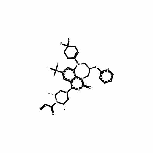 C=CC(=O)N1[C@H](C)CN(c2nc(=O)n3c4c(cc(C(F)(F)F)cc24)[SH](C2=CCC(F)(F)CC2)C[C@@H](Oc2ccccn2)C3)C[C@@H]1C